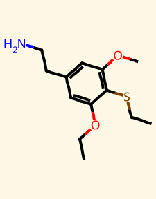 CCOc1cc(CCN)cc(OC)c1SCC